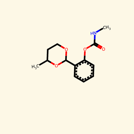 CNC(=O)Oc1ccccc1C1OCCC(C)O1